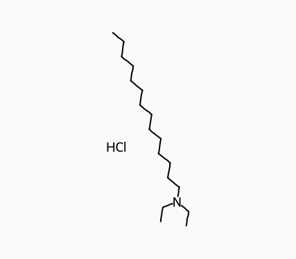 CCCCCCCCCCCCCCN(CC)CC.Cl